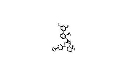 O=C(Cc1cccc(-c2cc(F)cc(F)c2)c1C1CC1)N[C@@H]1[C@@H](OC2CCN(C3CCC3)CC2)CCCC1(F)F